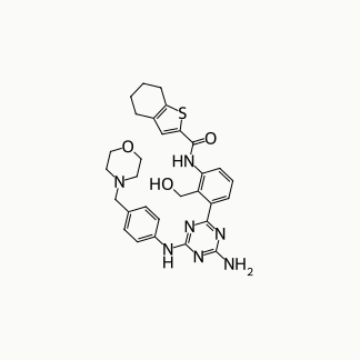 Nc1nc(Nc2ccc(CN3CCOCC3)cc2)nc(-c2cccc(NC(=O)c3cc4c(s3)CCCC4)c2CO)n1